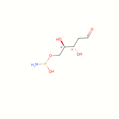 NP(O)OC[C@@H](O)[C@@H](O)CC=O